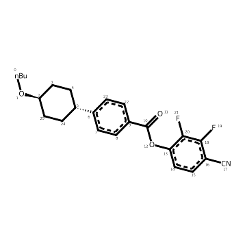 CCCCO[C@H]1CC[C@H](c2ccc(C(=O)Oc3ccc(C#N)c(F)c3F)cc2)CC1